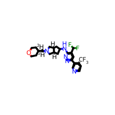 [2H]C([2H])(C1CCOCC1)N1C[C@H]2CC(Nc3nnc(-c4cnccc4C(F)(F)F)cc3C(F)F)C[C@H]2C1